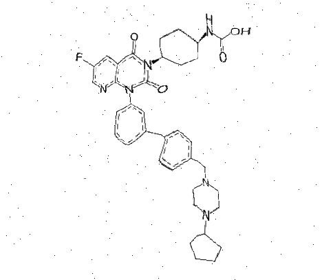 O=C(O)N[C@H]1CC[C@@H](n2c(=O)c3cc(F)cnc3n(-c3cccc(-c4ccc(CN5CCN(C6CCCC6)CC5)cc4)c3)c2=O)CC1